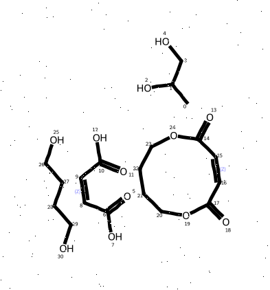 CC(O)CO.O=C(O)/C=C\C(=O)O.O=C1/C=C\C(=O)OCCCCO1.OCCCCO